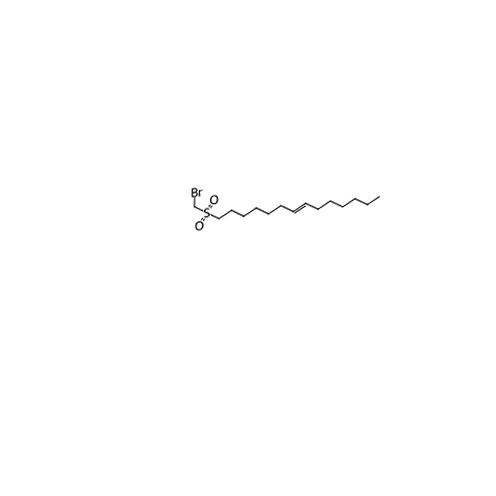 CCCCCCC=CCCCCCCS(=O)(=O)CBr